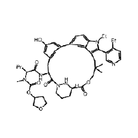 CCc1ccncc1-c1c2c3cc(ccc3n1CC)-c1cc(O)cc(c1)C[C@H](NC(=O)[C@H](C(C)C)N(C)C(=O)OC1CCOC1)C(=O)N1CCC[C@H](N1)C(=O)OCC(C)(C)C2